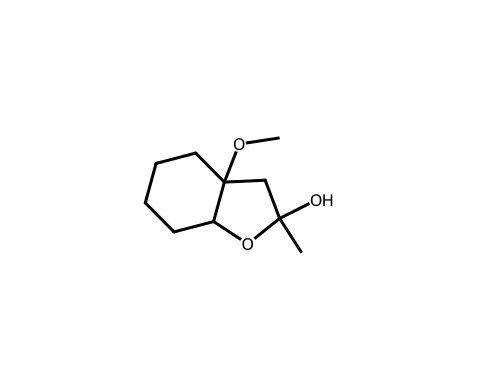 COC12CCCCC1OC(C)(O)C2